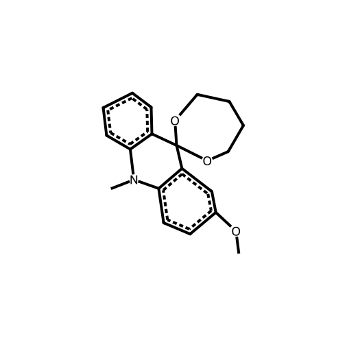 COc1ccc2c(c1)C1(OCCCCO1)c1ccccc1N2C